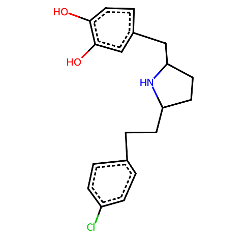 Oc1ccc(CC2CCC(CCc3ccc(Cl)cc3)N2)cc1O